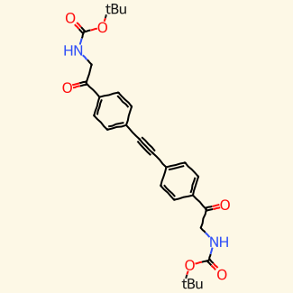 CC(C)(C)OC(=O)NCC(=O)c1ccc(C#Cc2ccc(C(=O)CNC(=O)OC(C)(C)C)cc2)cc1